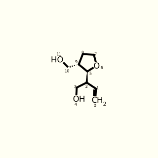 C=CC(CO)[C@@H]1OCC[C@H]1CO